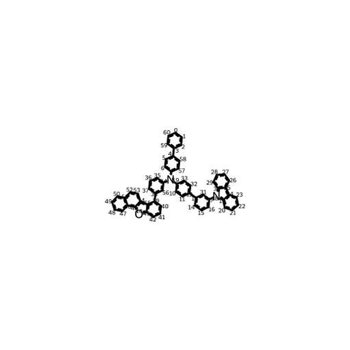 c1ccc(-c2ccc(N(c3ccc(-c4cccc(-n5c6ccccc6c6ccccc65)c4)cc3)c3cccc(-c4cccc5oc6c7ccccc7ccc6c45)c3)cc2)cc1